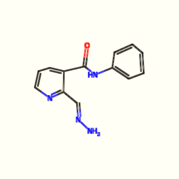 NN=Cc1ncccc1C(=O)Nc1ccccc1